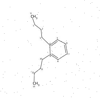 CCCCc1c[c][c]cc1CCCC